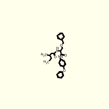 CCC(C)CC(=O)NC(COCc1ccccc1)C(=O)Nc1ccc(Oc2ccccc2)cc1